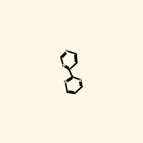 c1cnc(-c2ccncn2)nc1